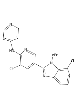 CCCn1c(-c2cnc(Nc3ccncc3)c(Cl)c2)nc2cccc(Cl)c21